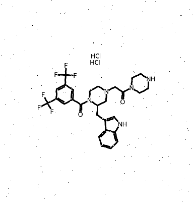 Cl.Cl.O=C(CN1CCN(C(=O)c2cc(C(F)(F)F)cc(C(F)(F)F)c2)[C@H](Cc2c[nH]c3ccccc23)C1)N1CCNCC1